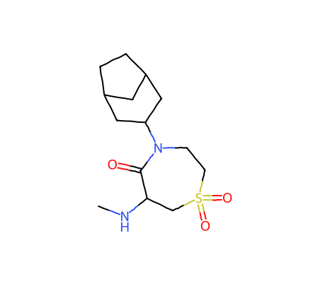 CNC1CS(=O)(=O)CCN(C2CC3CCC(C3)C2)C1=O